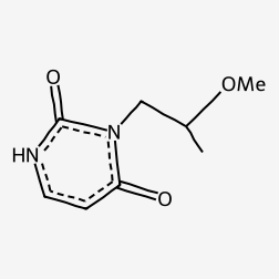 COC(C)Cn1c(=O)cc[nH]c1=O